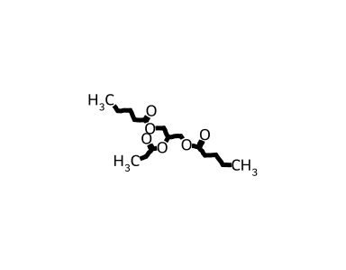 CCCCC(=O)OCC(COC(=O)CCCC)OC(=O)CC